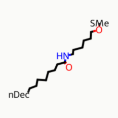 CCCCCCCCCCCCCCCCCC(=O)NCCCCCCOSC